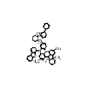 Cc1cc2c3c(c1)N(c1cccc4c1sc1ccccc14)c1cc(N4c5ccc(-c6ccccc6)cc5C5(C)CCCCC45C)ccc1B3c1cc(C(C)(C)C)cc3c1C2C1(C)CCCCC31C